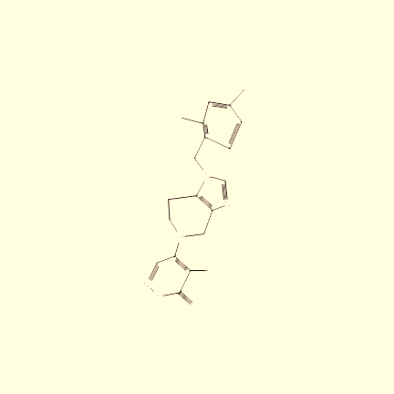 CCc1cc(F)ccc1Cn1cnc2c1CCN(c1cn[nH]c(=O)c1Cl)C2